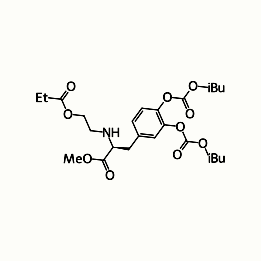 CCC(=O)OCCN[C@@H](Cc1ccc(OC(=O)OC(C)CC)c(OC(=O)OC(C)CC)c1)C(=O)OC